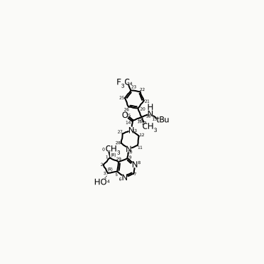 C[C@@H]1C[C@@H](O)c2ncnc(N3CCN(C(=O)[C@@](C)(NC(C)(C)C)c4ccc(C(F)(F)F)cc4)CC3)c21